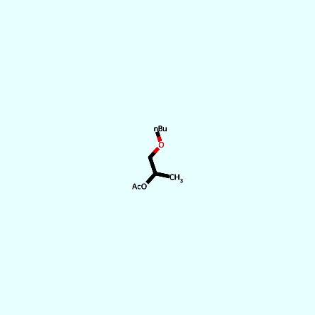 CCCCOCC(C)OC(C)=O